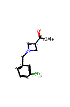 COC(=O)C1CN(Cc2cccc(Br)c2)C1